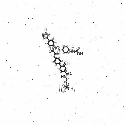 Cc1cc(C(=O)NCCOC(C)(C)C)ccc1-c1ccc(C[C@H](NC(=O)[C@H]2CC[C@H](CNC(=O)O)CC2)C(=O)Nc2ccc(-c3nn[nH]n3)cc2)cc1